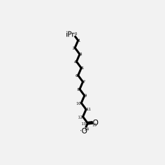 CC(C)CCCCCCCCCCCCC([O])=O